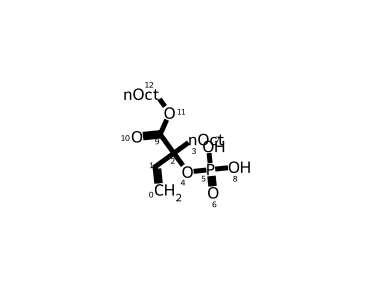 C=CC(CCCCCCCC)(OP(=O)(O)O)C(=O)OCCCCCCCC